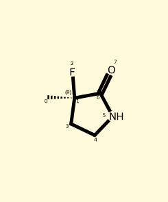 C[C@@]1(F)CCNC1=O